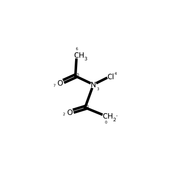 [CH2]C(=O)N(Cl)C(C)=O